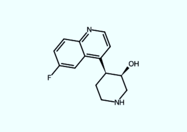 O[C@H]1CNCC[C@H]1c1ccnc2ccc(F)cc12